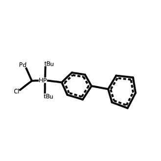 CC(C)(C)[PH](c1ccc(-c2ccccc2)cc1)([CH](Cl)[Pd])C(C)(C)C